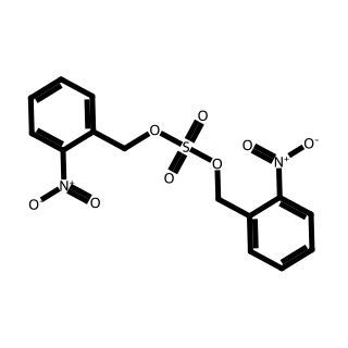 O=[N+]([O-])c1ccccc1COS(=O)(=O)OCc1ccccc1[N+](=O)[O-]